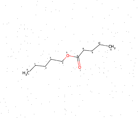 CCCC[CH]OC(=O)CCCC